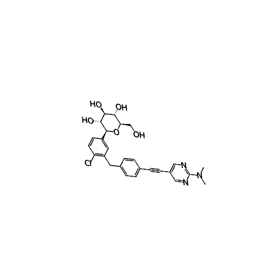 CN(C)c1ncc(C#Cc2ccc(Cc3cc([C@@H]4O[C@H](CO)[C@@H](O)[C@H](O)[C@H]4O)ccc3Cl)cc2)cn1